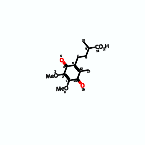 COC1=C(OC)C(=O)C(CCC(C)C(=O)O)=C(C)C1=O